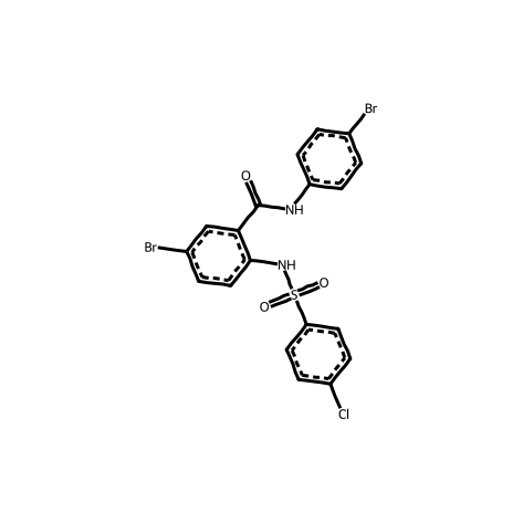 O=C(Nc1ccc(Br)cc1)c1cc(Br)ccc1NS(=O)(=O)c1ccc(Cl)cc1